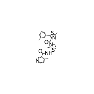 Cc1cccc(-c2sc(C)nc2C(=O)N2CCSC2CNC(=O)c2cnccc2C)c1